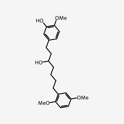 COc1ccc(OC)c(CCCCC(O)CCc2ccc(OC)c(O)c2)c1